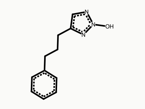 On1ncc(CCCc2ccccc2)n1